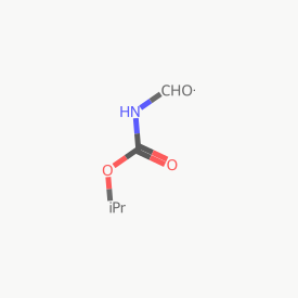 CC(C)OC(=O)N[C]=O